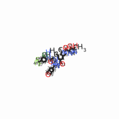 CCc1c(/C=C2\C[C@@H](C)N(C(=O)c3ncnc(C)c3O)C2)c(=O)n2nc(C3=CC4COCC4C3)nc2n1CC(=O)Nc1ccc(C(F)(F)F)cc1Cl